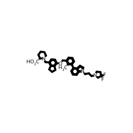 Cc1c(COc2ccc(CN3CCCCC3C(=O)O)c3c2CCC3)cccc1-c1cccc2c1ccn2CCCN1CCC(F)(F)C1